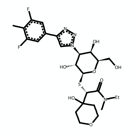 CCN(C)C(=O)[C@@H](S[C@@H]1O[C@H](CO)[C@H](O)[C@H](n2cc(-c3cc(F)c(C)c(F)c3)nn2)[C@H]1O)C1(O)CCOCC1